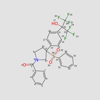 O=C(c1ccccc1)N1CCC(c2ccc(C(O)(C(F)(F)F)C(F)(F)F)cc2)(S(=O)(=O)c2ccccc2)C1